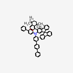 CC1(C)CCC(C)(C)c2c(-c3cc4c(cc3N(c3ccc(-c5ccccc5)cc3)c3ccc(-c5ccc(-c6ccccc6)cc5)cc3)C3(c5ccccc5-c5ccccc53)c3ccccc3-4)cccc21